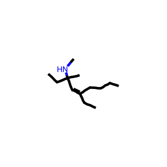 CCCC/C(=C\C(C)(CC)NC)CC